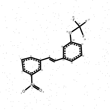 O=[N+]([O-])c1cccc(C=Cc2cccc(OC(F)(F)F)c2)c1